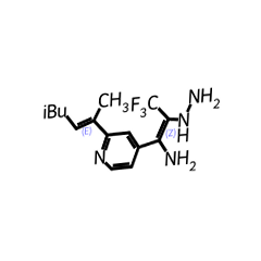 CCC(C)/C=C(\C)c1cc(/C(N)=C(/NN)C(F)(F)F)ccn1